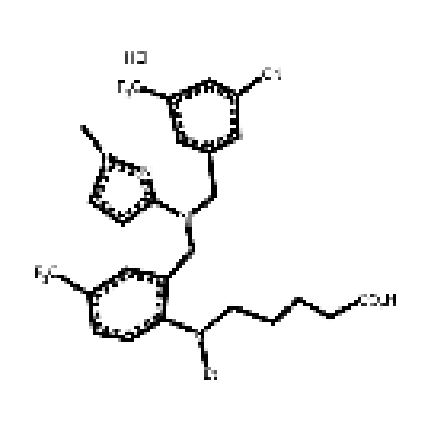 CCN(CCCCC(=O)O)c1ccc(C(F)(F)F)cc1CN(Cc1cc(C#N)cc(C(F)(F)F)c1)c1ccn(C)n1.Cl